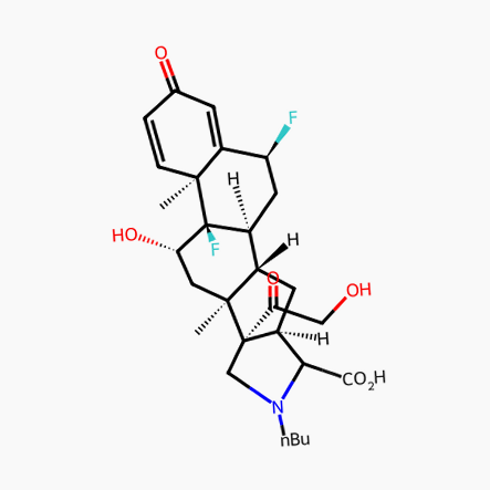 CCCCN1C[C@]2(C(=O)CO)[C@@H](C[C@H]3[C@@H]4C[C@H](F)C5=CC(=O)C=C[C@]5(C)[C@@]4(F)[C@@H](O)C[C@@]32C)C1C(=O)O